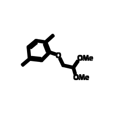 COC(COc1cc(C)ccc1C)OC